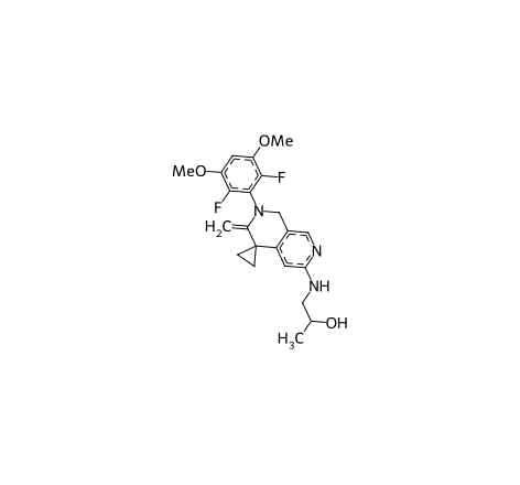 C=C1N(c2c(F)c(OC)cc(OC)c2F)Cc2cnc(NCC(C)O)cc2C12CC2